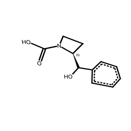 O=C(O)N1CC[C@H]1C(O)c1ccccc1